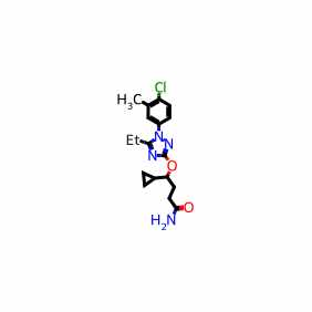 CCc1nc(OC(CCC(N)=O)C2CC2)nn1-c1ccc(Cl)c(C)c1